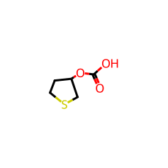 O=C(O)OC1CCSC1